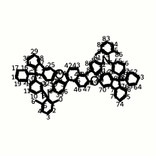 Cc1cccc(C)c1N(c1cccc(C2(c3ccccc3)c3ccccc3-c3ccccc32)c1)c1ccc2c(c1)oc1ccc3c(ccc4oc5cc(N(c6cccc(C7(c8ccccc8)c8ccccc8-c8ccccc87)c6)c6c(C)cccc6C)ccc5c43)c12